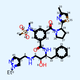 CCn1cc(CNC[C@H](O)[C@H](Cc2ccccc2)NC(=O)c2cc(C(=O)N3CCC[C@@H]3c3nc(C)cs3)cc(N(C)S(C)(=O)=O)c2)cn1